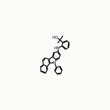 CC(C)(O)c1ccccc1Nc1ccc2c(c1)c1ccc3ccccc3c1n2-c1ccccc1